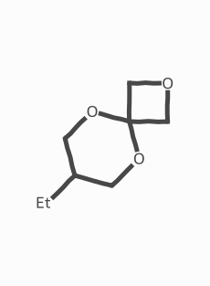 CCC1COC2(COC2)OC1